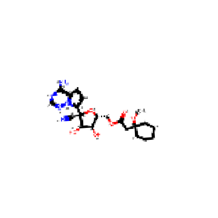 COC1(CC(=O)OC[C@H]2O[C@@](C#N)(c3ccc4c(N)ncnn34)[C@H](O)[C@@H]2O)CCCCC1